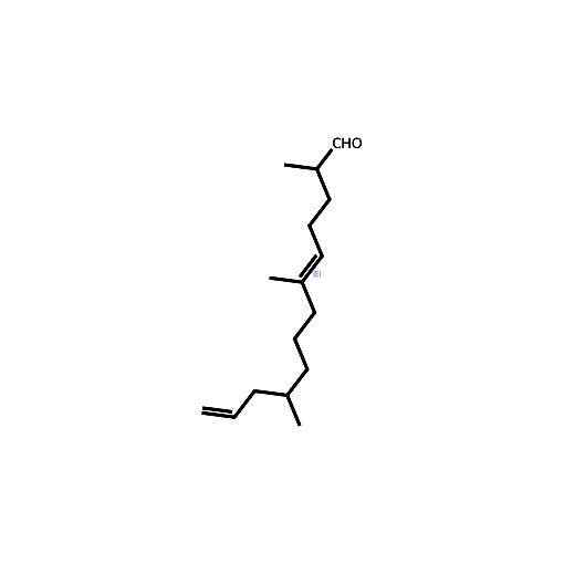 C=CCC(C)CCC/C(C)=C/CCC(C)C=O